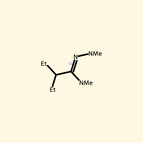 CCC(CC)/C(=N/NC)NC